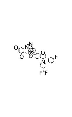 COc1ccc(CN(c2ncns2)S(=O)(=O)c2ccc3c(c2)OCC[C@@H]3N2CC[C@@H](C(F)F)C[C@H]2c2ccc(F)cc2)c(OC)c1